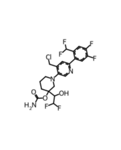 NC(=O)OC1(C(O)C(F)F)CCCN(c2cnc(-c3cc(F)c(F)cc3C(F)F)cc2CCl)C1